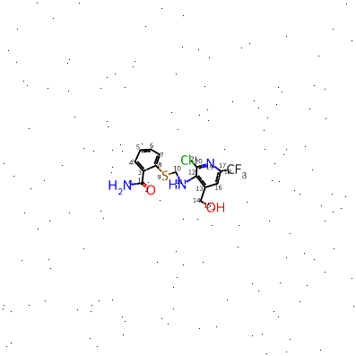 NC(=O)c1ccccc1SCNc1c(CO)cc(C(F)(F)F)nc1Cl